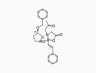 CC(=O)C[N+]1([C@@H]2CCC[C@H]2OCc2ccccc2)CC(=O)O[B-]1(O)/C=C/c1ccccc1